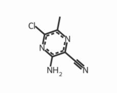 Cc1nc(C#N)c(N)nc1Cl